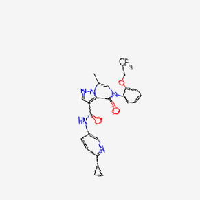 Cc1cn(-c2ccccc2OCC(F)(F)F)c(=O)c2c(C(=O)Nc3ccc(C4CC4)nc3)cnn12